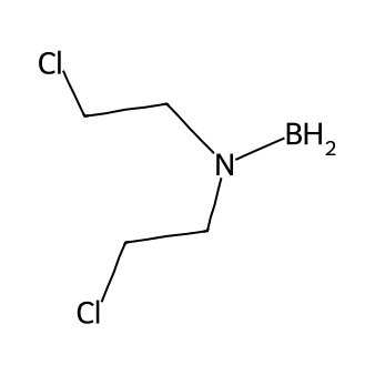 BN(CCCl)CCCl